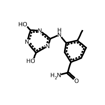 Cc1ccc(C(N)=O)cc1Nc1nc(O)nc(O)n1